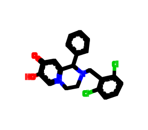 O=c1cc2n(cc1O)CCN(Cc1c(Cl)cccc1Cl)C2c1ccccc1